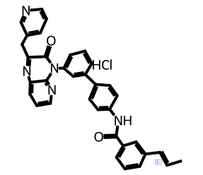 C/C=C/c1cccc(C(=O)Nc2ccc(-c3cccc(-n4c(=O)c(Cc5cccnc5)nc5cccnc54)c3)cc2)c1.Cl